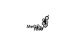 COCC(=O)Nc1ccc(-c2ccnc3c2CCN3S(=O)(=O)c2ccc(C)cc2)s1